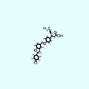 CC#C[C@@H](CC(=O)O)c1ccc(OCc2ccc3c(c2)C[C@@H](c2ccc(Cl)cc2)O3)cc1